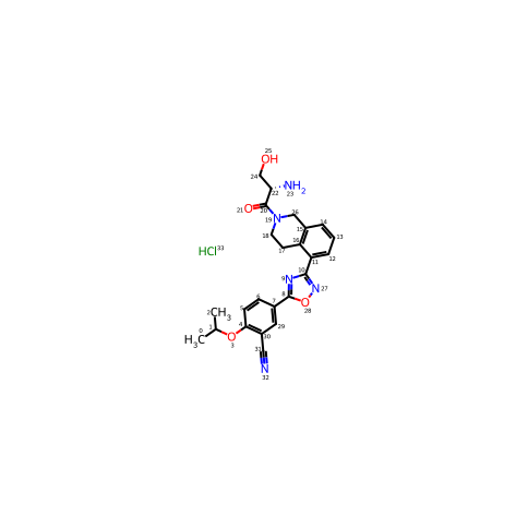 CC(C)Oc1ccc(-c2nc(-c3cccc4c3CCN(C(=O)[C@@H](N)CO)C4)no2)cc1C#N.Cl